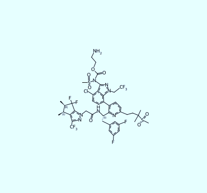 C[C@@H]1c2c(C(F)(F)F)nn(CC(=O)N[C@@H](Cc3cc(F)cc(F)c3)c3nc(CCC(C)(C)S(C)(=O)=O)ccc3-c3ccc(Cl)c4c(N(C(=O)OCCN)S(C)(=O)=O)nn(CC(F)(F)F)c34)c2C(F)(F)[C@@H]1C